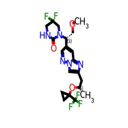 COC[C@H](c1cnn2cc(C[C@H](C)OC3(C(F)(F)F)CC3)nc2c1)N1CC(F)(F)CNC1=O